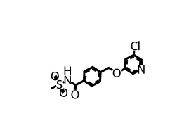 CS(=O)(=O)NC(=O)c1ccc(COc2cncc(Cl)c2)cc1